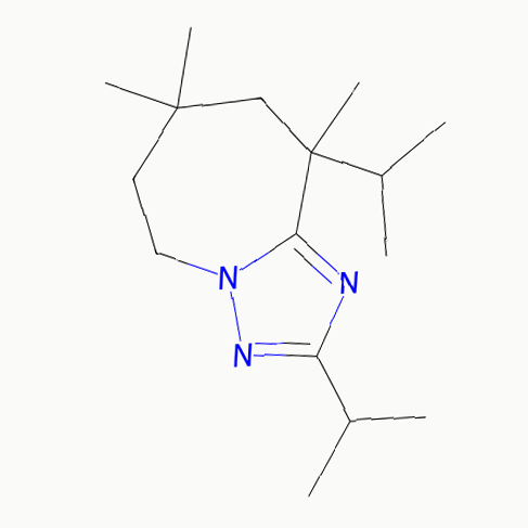 CC(C)c1nc2n(n1)CCC(C)(C)CC2(C)C(C)C